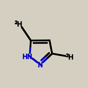 [2H]c1cc([2H])[nH]n1